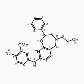 COc1cc(Nc2ccc3c(n2)OC(c2ccccc2)CN(CCO)C3)ccc1C#N